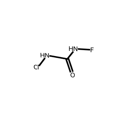 O=C(NF)NCl